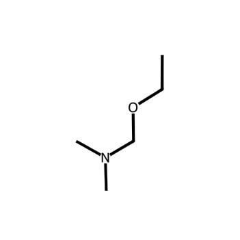 CCOCN(C)C